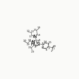 C=C(C)c1ccc([SiH2]CC(N(CCC)CCC)N(CCC)CCC)cc1